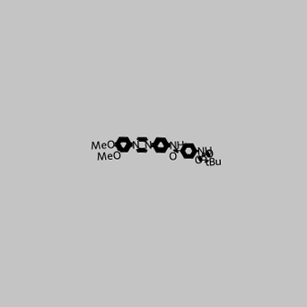 COc1ccc(N2CCN(c3ccc(NC(=O)[C@H]4CC[C@H](NS(=O)(=O)C(C)(C)C)CC4)cc3)CC2)cc1OC